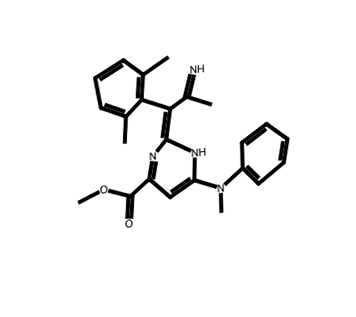 COC(=O)C1=N/C(=C(/C(C)=N)c2c(C)cccc2C)NC(N(C)c2ccccc2)=C1